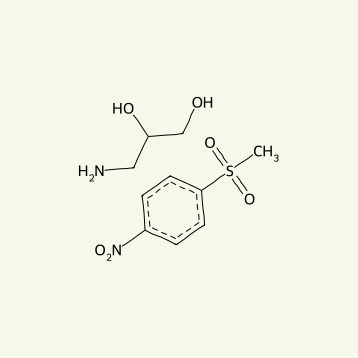 CS(=O)(=O)c1ccc([N+](=O)[O-])cc1.NCC(O)CO